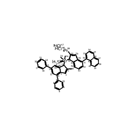 CC1=Cc2c(-c3ccccc3)cc(-c3ccccc3)cc2[CH]1[Zr]([CH3])([CH3])(=[SiH2])[CH]1C(C(C)C)=Cc2c(-c3cccc4ccccc34)cccc21.Cl.Cl